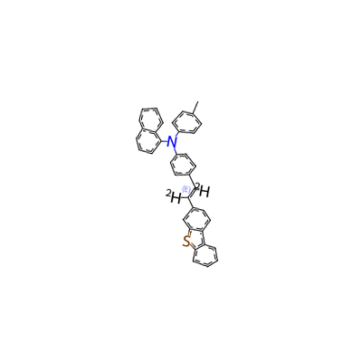 [2H]/C(=C(/[2H])c1ccc2c(c1)sc1ccccc12)c1ccc(N(c2ccc(C)cc2)c2cccc3ccccc23)cc1